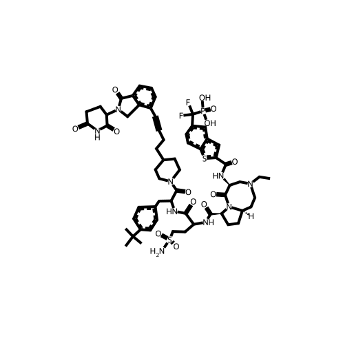 CCN1CC[C@H]2CC[C@@H](C(=O)NC(CCS(N)(=O)=O)C(=O)NC(Cc3ccc(C(C)(C)C)cc3)C(=O)N3CCC(CCC#Cc4cccc5c4CN(C4CCC(=O)NC4=O)C5=O)CC3)N2C(=O)[C@@H](NC(=O)c2cc3cc(C(F)(F)P(=O)(O)O)ccc3s2)C1